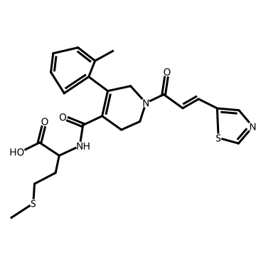 CSCCC(NC(=O)C1=C(c2ccccc2C)CN(C(=O)/C=C/c2cncs2)CC1)C(=O)O